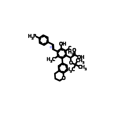 Cc1c(/C=C/c2ccc(P)cc2)c(O)c(C)c(C(OC(C)(C)C)C(=O)O)c1-c1ccc2c(c1)CCCO2